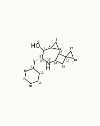 OC(C1CC1)[C@@H](CC1CCCCC1)NC1CC2(CC2)C1